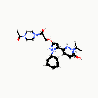 CC(=O)N1CCN(C(=O)COc2cc(-c3ccc(=O)n(C(C)C)n3)n(-c3ccccc3)n2)CC1